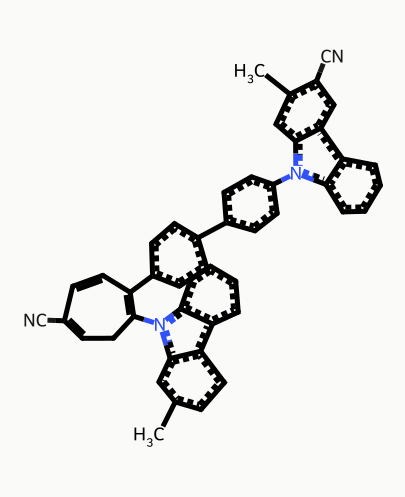 Cc1ccc2c3ccccc3n(C3=C(c4ccc(-c5ccc(-n6c7ccccc7c7cc(C#N)c(C)cc76)cc5)cc4)C=CC(C#N)=CC3)c2c1